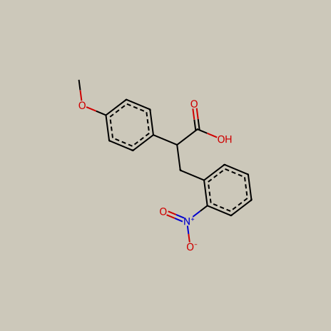 COc1ccc(C(Cc2ccccc2[N+](=O)[O-])C(=O)O)cc1